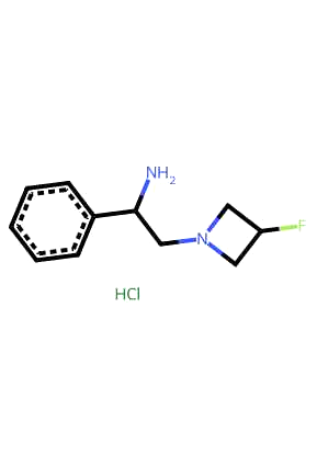 Cl.NC(CN1CC(F)C1)c1ccccc1